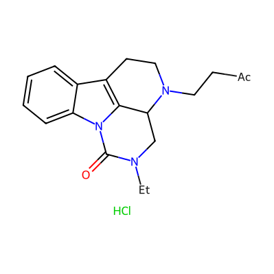 CCN1CC2c3c(c4ccccc4n3C1=O)CCN2CCC(C)=O.Cl